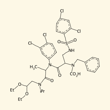 CCOC(CN(C(=O)C(C)N(C(=O)C(CNS(=O)(=O)c1ccc(Cl)cc1Cl)N(Cc1ccccc1)C(=O)O)c1ccc(Cl)c(Cl)c1)C(C)C)OCC